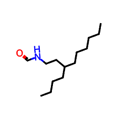 CCCCCCC(CCCC)CCNC=O